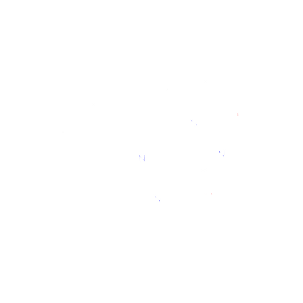 Cc1ccc(Cn2cc3c(c2Nc2ccccc2)c(=O)n(C)c(=O)n3C2CCCC2)cc1